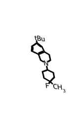 CC1(F)CCC(N2CCc3cc(C(C)(C)C)ccc3C2)CC1